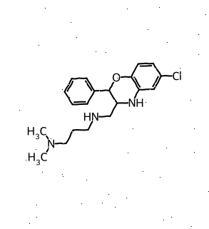 CN(C)CCCNCC1Nc2cc(Cl)ccc2OC1c1ccccc1